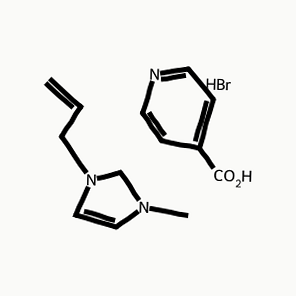 Br.C=CCN1C=CN(C)C1.O=C(O)c1ccncc1